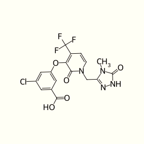 Cn1c(Cn2ccc(C(F)(F)F)c(Oc3cc(Cl)cc(C(=O)O)c3)c2=O)n[nH]c1=O